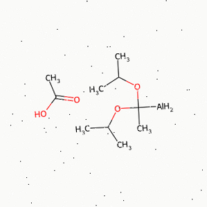 CC(=O)O.CC(C)O[C](C)([AlH2])OC(C)C